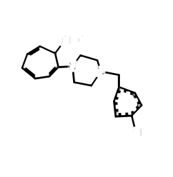 O=CC1C=CC=CC=C1N1CCN(Cc2ccc(C(F)(F)F)cc2)CC1